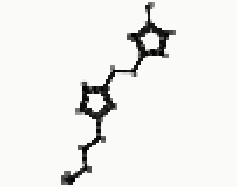 Cc1nc(CCc2cc(CCCO)cs2)cs1